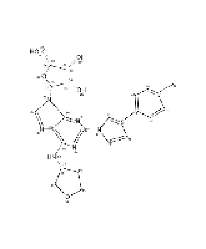 Cc1ccc(-c2cnn(-c3nc(N[C@@H]4CCOC4)c4ncn([C@@H]5O[C@H](C(=O)O)[C@H](O)[C@@H]5O)c4n3)c2)cc1